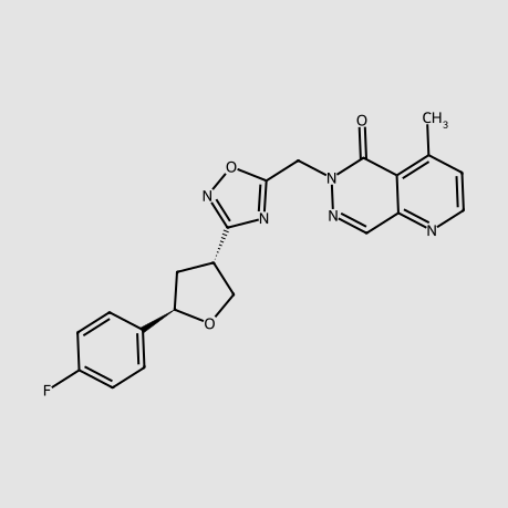 Cc1ccnc2cnn(Cc3nc([C@@H]4CO[C@@H](c5ccc(F)cc5)C4)no3)c(=O)c12